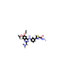 CCOc1cc2c(Nc3cccc(-c4csc(C(N)=O)n4)c3)nc(CN(C)C)nc2cc1OC(C)C